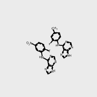 Cc1ccc(Nc2ncnc3[nH]cnc23)c(F)c1.O=[N+]([O-])c1ccc(F)c(Nc2ncnc3[nH]cnc23)c1